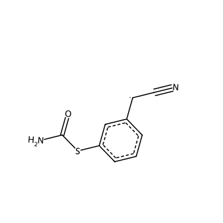 N#C[CH]c1cccc(SC(N)=O)c1